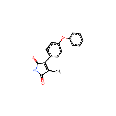 CC1=C(c2ccc(Oc3ccccc3)cc2)C(=O)NC1=O